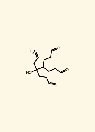 C=CCC(O)(CCC=O)[C](CCC=O)CCC=O